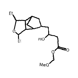 CCC1OC(CC)C2C3CC(CC3CC(O)CC(=O)OCOC)C12